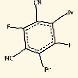 CC(C)c1c(F)c(C(C)C)c(C#N)c(F)c1C#N